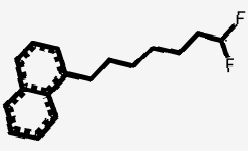 F[C](F)CCCCCCc1cccc2ccccc12